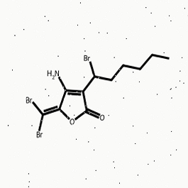 CCCCCC(Br)C1=C(N)C(=C(Br)Br)OC1=O